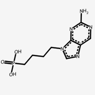 Nc1ncc2ncn(CCCCP(=O)(O)O)c2n1